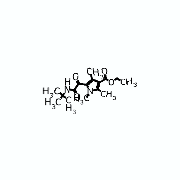 CCOC(=O)c1c(C)c(C(=O)C(=O)NC(C)(C)C)n(C)c1C